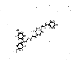 Fc1ccc(C(CCCCCN2CCN(CCSc3ccccc3)CC2)c2ccc(F)cc2)cc1